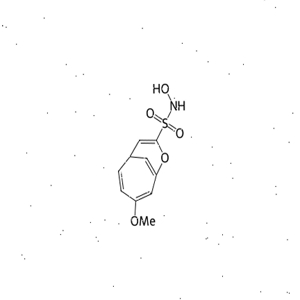 COC1=CC2=CC(C=C1)C=C(S(=O)(=O)NO)O2